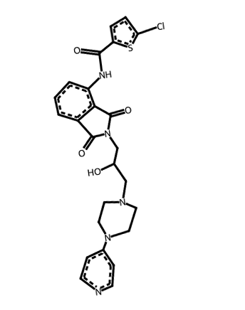 O=C(Nc1cccc2c1C(=O)N(CC(O)CN1CCN(c3ccncc3)CC1)C2=O)c1ccc(Cl)s1